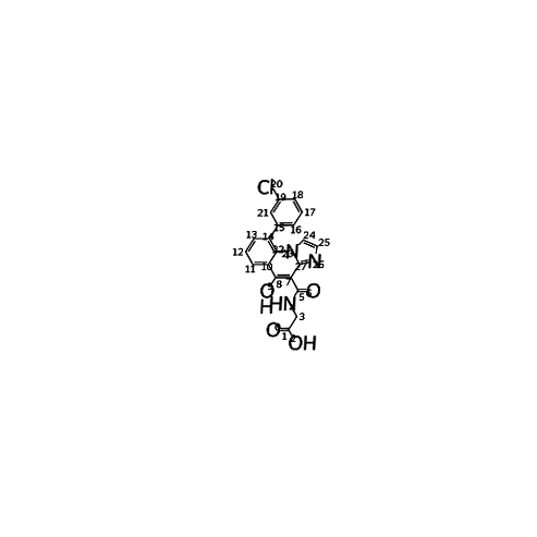 O=C(O)CNC(=O)c1c(O)c2cccc(-c3cccc(Cl)c3)c2n2ccnc12